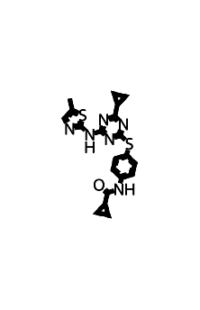 Cc1cnc(Nc2nc(Sc3ccc(NC(=O)C4CC4)cc3)nc(C3CC3)n2)s1